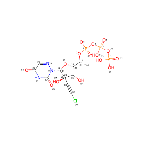 C[C@@H](OP(=O)(O)OP(=O)(O)OP(=O)(O)O)[C@H]1O[C@@H](n2ncc(=O)[nH]c2=O)[C@@](O)(C#CCl)C1O